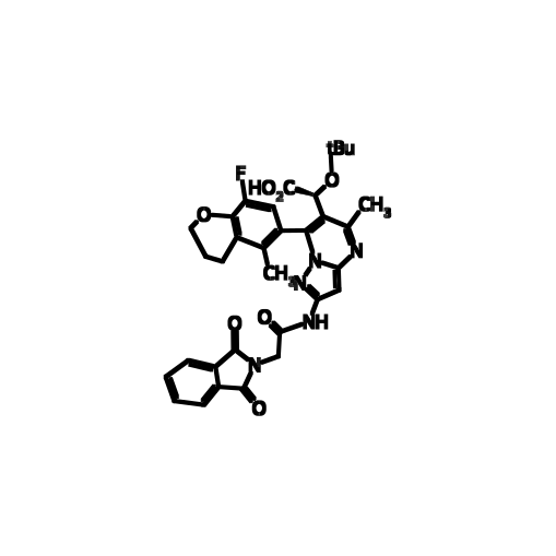 Cc1nc2cc(NC(=O)CN3C(=O)c4ccccc4C3=O)nn2c(-c2cc(F)c3c(c2C)CCCO3)c1[C@H](OC(C)(C)C)C(=O)O